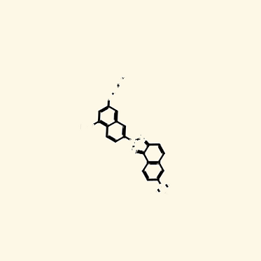 O=S(=O)(O)c1ccc2c(ccc3nn(-c4ccc5c(O)cc(SOOO)cc5c4)nc32)c1